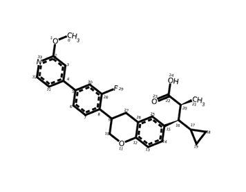 COc1cc(-c2ccc(C3COc4ccc([C@H](C5CC5)[C@H](C)C(=O)O)cc4C3)c(F)c2)ccn1